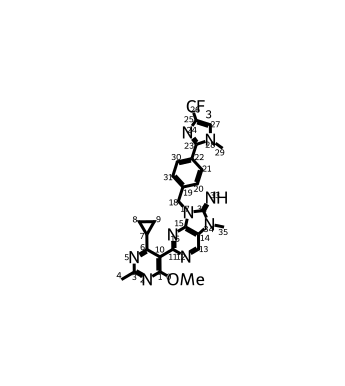 COc1nc(C)nc(C2CC2)c1-c1ncc2c(n1)n(Cc1ccc(-c3nc(C(F)(F)F)cn3C)cc1)c(=N)n2C